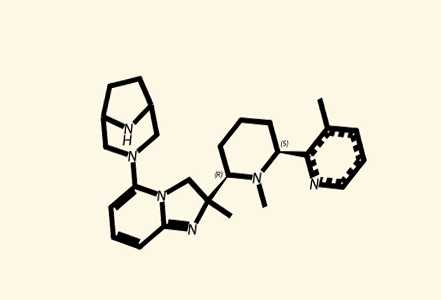 Cc1cccnc1[C@@H]1CCC[C@H](C2(C)CN3C(N4CC5CCC(C4)N5)=CC=CC3=N2)N1C